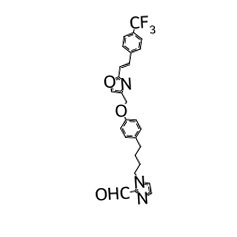 O=Cc1nccn1CCCCc1ccc(OCc2coc(C=Cc3ccc(C(F)(F)F)cc3)n2)cc1